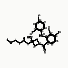 COCCNCC1(O)CN(C(=O)c2ccc(F)c(F)c2Nc2ccc(I)cc2F)C1